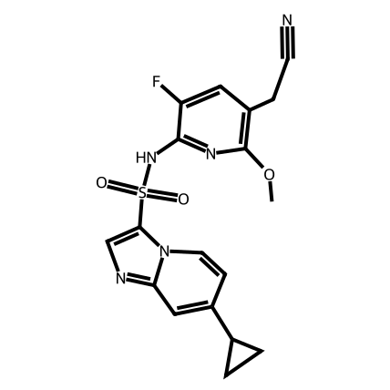 COc1nc(NS(=O)(=O)c2cnc3cc(C4CC4)ccn23)c(F)cc1CC#N